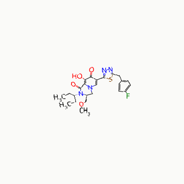 CCC(CC)N1C(=O)c2c(O)c(=O)c(-c3nnc(Cc4ccc(F)cc4)s3)cn2C[C@H]1COC